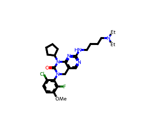 CCN(CC)CCCCNc1ncc2c(n1)N(C1CCCC1)C(=O)N(c1c(Cl)ccc(OC)c1F)C2